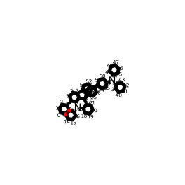 c1ccc(-c2ccc3c4c2N(c2ccccc2)c2ccccc2C4(c2ccccc2)c2cc(-c4ccc(N(c5ccccc5)c5ccccc5)cc4)ccc2-3)cc1